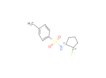 Cc1ccc(S(=O)(=O)N[C@@H]2CCC[C@H]2F)cc1